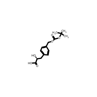 CC(C)(C)OC(=O)OCc1ccc(C[C@H](O)C(=O)O)cc1